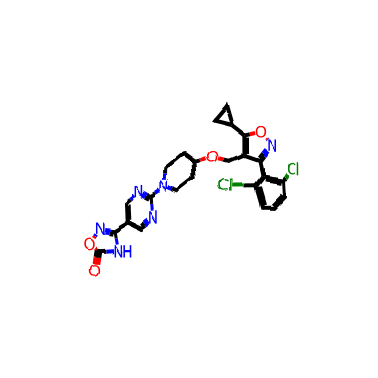 O=c1[nH]c(-c2cnc(N3CCC(OCc4c(-c5c(Cl)cccc5Cl)noc4C4CC4)CC3)nc2)no1